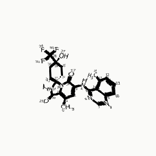 Cc1cc(Nc2ncnc3cccc(C)c23)c(=O)n2c1C(=O)N[C@]21CC[C@@](O)(C(F)(F)F)CC1